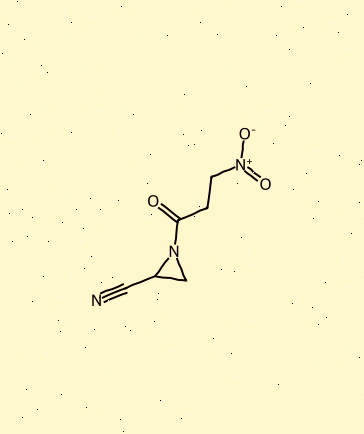 N#CC1CN1C(=O)CC[N+](=O)[O-]